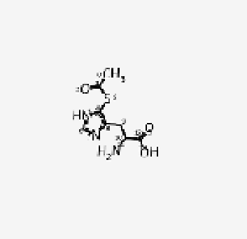 CC(=O)Sc1[nH]cnc1CC(N)C(=O)O